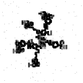 COc1ccc(N=Nc2cc(OCCCCS(=O)(=O)O)c(Nc3nc(NCc4ccc(C(=O)O)cc4)nc(Nc4cc(Cl)c(N=Nc5ccc(OC)c(S(=O)(=O)O)c5)cc4OCCCCS(=O)(=O)O)n3)cc2Cl)cc1S(=O)(=O)O